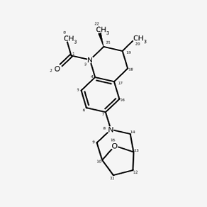 CC(=O)N1c2ccc(N3CC4CCC(C3)O4)cc2CC(C)[C@@H]1C